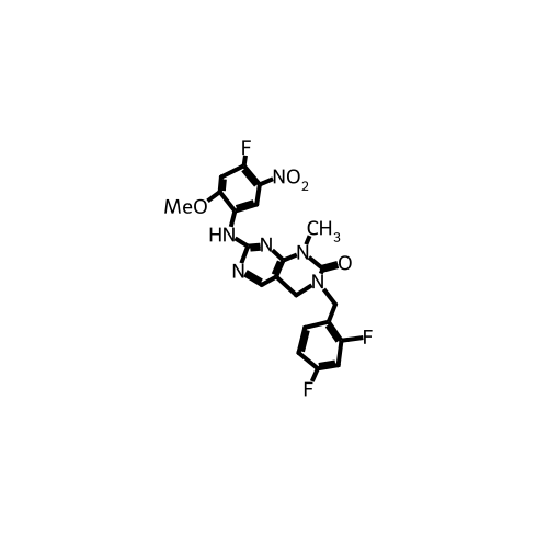 COc1cc(F)c([N+](=O)[O-])cc1Nc1ncc2c(n1)N(C)C(=O)N(Cc1ccc(F)cc1F)C2